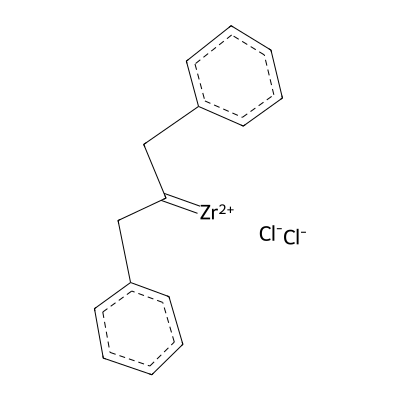 [Cl-].[Cl-].[Zr+2]=[C](Cc1ccccc1)Cc1ccccc1